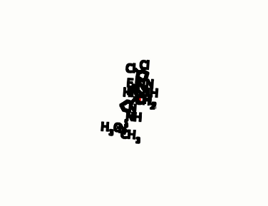 C=C(NC1(C(F)(F)F)C(=C)Nc2nc3cc(Cl)c(Cl)cc3n21)c1cccc(NCCN(C)C)n1